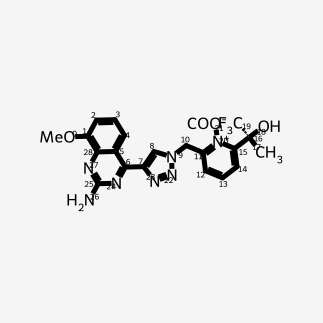 COc1cccc2c(-c3cn(Cc4cccc([C@](C)(O)C(F)(F)F)[n+]4C(=O)[O-])nn3)nc(N)nc12